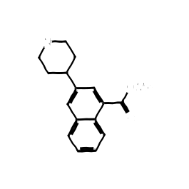 COC(=O)c1cc(C2CCNCC2)cc2ccccc12